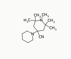 CN1C(C)(C)CC(C#N)(N2CCCCC2)CC1(C)C